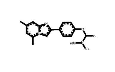 CCCCN(CCCC)C(CC)Oc1ccc(-c2cn3c(C)cc(C)cc3n2)cc1